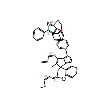 C=C/C=C\C1=C(C)C2(C/C(=C\C=C/CC)Oc3ccccc32)c2cccc(-c3ccc(C4=C/CC/C(c5ccccc5)=N/C(c5ccccc5)=C\4)cc3)c21